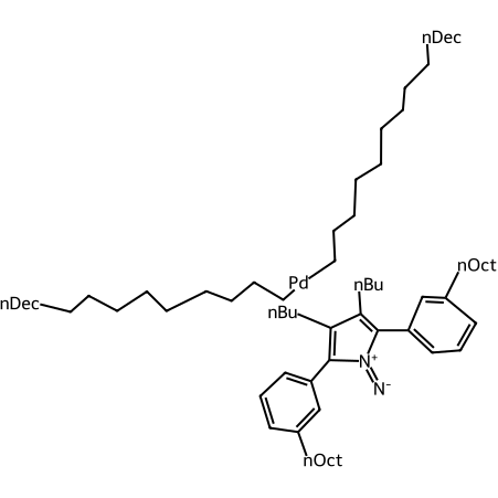 CCCCCCCCCCCCCCCCCC[CH2][Pd][CH2]CCCCCCCCCCCCCCCCCC.CCCCCCCCc1cccc(C2=C(CCCC)C(CCCC)=C(c3cccc(CCCCCCCC)c3)[N+]2=[N-])c1